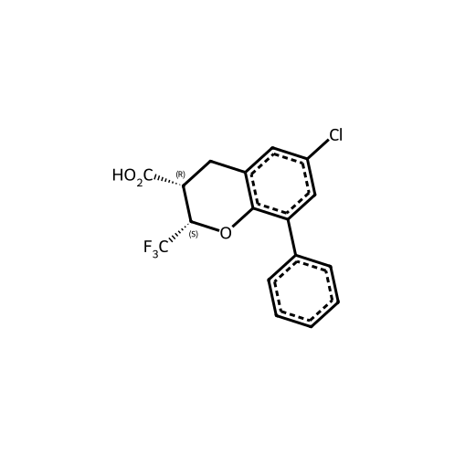 O=C(O)[C@@H]1Cc2cc(Cl)cc(-c3ccccc3)c2O[C@@H]1C(F)(F)F